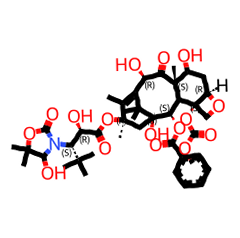 COC(=O)O[C@@]12CO[C@@H]1CC(O)[C@@]1(C)C(=O)[C@H](O)C3=C(C)[C@](C)(OC(=O)[C@H](O)[C@@H](N4C(=O)OC(C)(C)C4O)C(C)(C)C)C[C@@](O)([C@@H](OC(=O)c4ccccc4)C12)C3(C)C